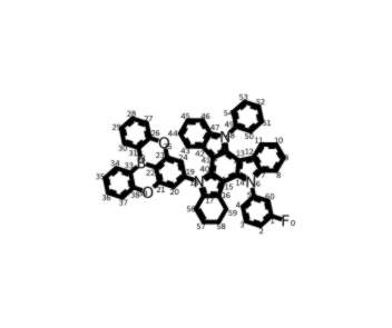 Fc1cccc(-n2c3ccccc3c3c2c2c4c(n(-c5cc6c7c(c5)Oc5ccccc5B7c5ccccc5O6)c2c2c5ccccc5n(-c5ccccc5)c23)C=CCC4)c1